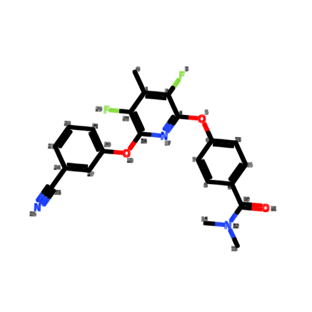 Cc1c(F)c(Oc2ccc(C(=O)N(C)C)cc2)nc(Oc2cccc(C#N)c2)c1F